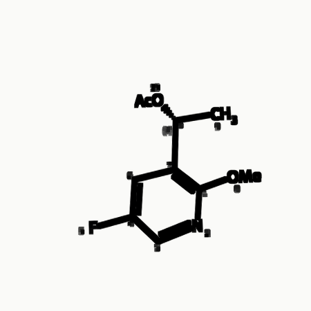 COc1ncc(F)cc1[C@@H](C)OC(C)=O